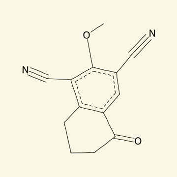 COc1c(C#N)cc2c(c1C#N)CCCC2=O